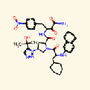 CC(C)(O)c1cnnn1[C@H]1C[C@@H](C(=O)NC(Cc2ccc([N+](=O)[O-])cc2)C(=O)C(N)=O)N(C(=O)C(CC2CCCCC2)Nc2ccc3ccccc3c2)C1